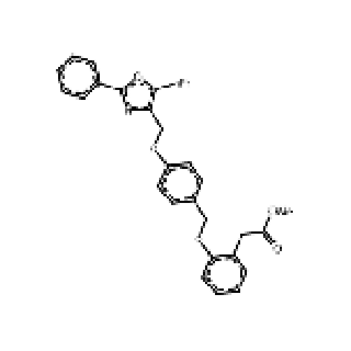 CCCc1oc(-c2ccccc2)nc1COc1ccc(COc2ccccc2CC(=O)OC)cc1